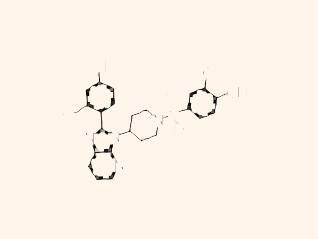 Cc1ccc(S(=O)(=O)N2CCC(n3c(-c4ccc(Cl)cc4Cl)nc4cccnc43)CC2)cc1Cl